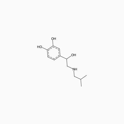 CC(C)CNCC(O)c1ccc(O)c(O)c1